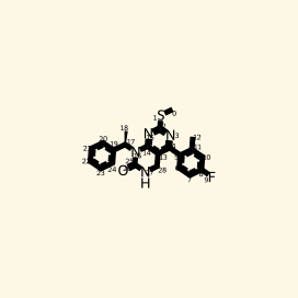 CSc1nc(-c2ccc(F)cc2C)c2c(n1)N([C@H](C)c1ccccc1)C(=O)NC2